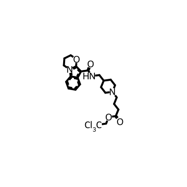 O=C(CCCN1CCC(CNC(=O)c2c3n(c4ccccc24)CCCO3)CC1)OCC(Cl)(Cl)Cl